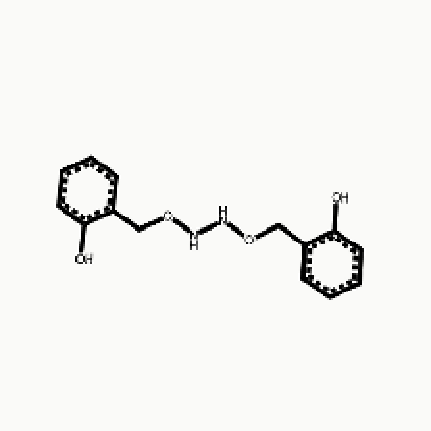 Oc1ccccc1CONNOCc1ccccc1O